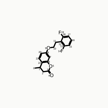 CC1CC(=O)Oc2cc(OCCc3c(F)cccc3F)ccc21